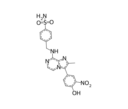 Cc1nc2c(NCc3ccc(S(N)(=O)=O)cc3)nccn2c1-c1ccc(O)c([N+](=O)[O-])c1